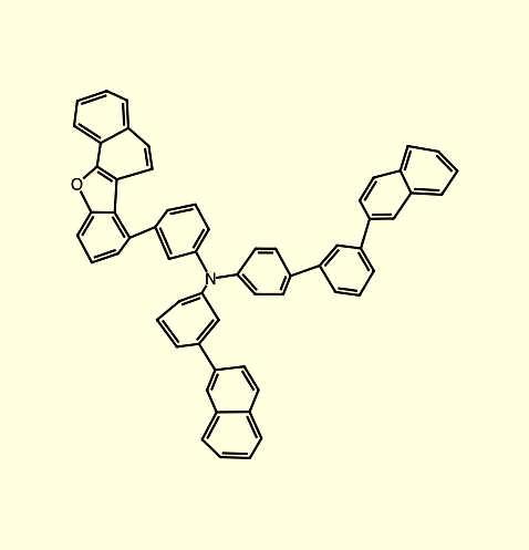 c1cc(-c2ccc(N(c3cccc(-c4ccc5ccccc5c4)c3)c3cccc(-c4cccc5oc6c7ccccc7ccc6c45)c3)cc2)cc(-c2ccc3ccccc3c2)c1